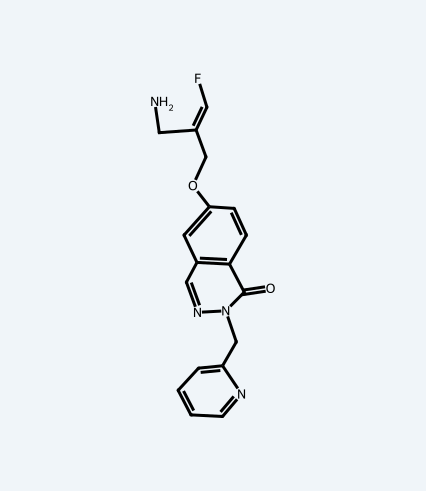 NC/C(=C\F)COc1ccc2c(=O)n(Cc3ccccn3)ncc2c1